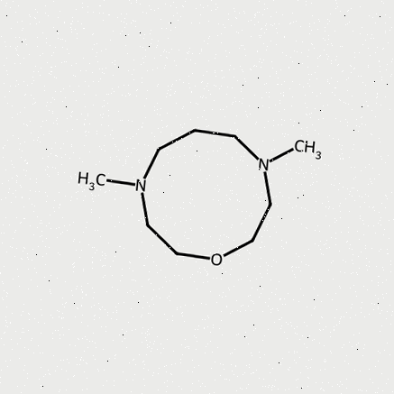 CN1CCCN(C)CCOCC1